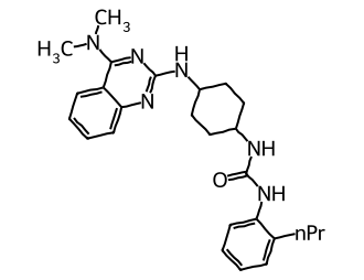 CCCc1ccccc1NC(=O)NC1CCC(Nc2nc(N(C)C)c3ccccc3n2)CC1